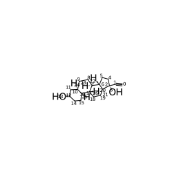 C#C[C@]1(O)CC[C@H]2[C@@H]3CC[C@@H]4C[C@H](O)CC[C@@H]4[C@H]3CC[C@@]21C